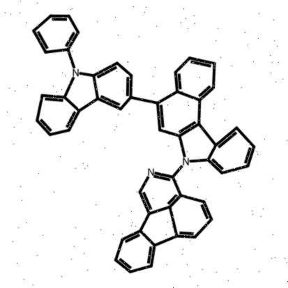 c1ccc(-n2c3ccccc3c3cc(-c4cc5c(c6ccccc46)c4ccccc4n5-c4ncc5c6c(cccc46)-c4ccccc4-5)ccc32)cc1